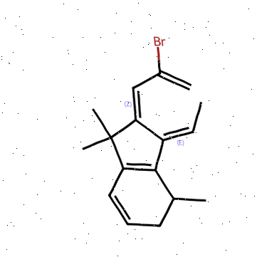 C=C(Br)/C=C1\C(=C/C)C2=C(C=CCC2C)C1(C)C